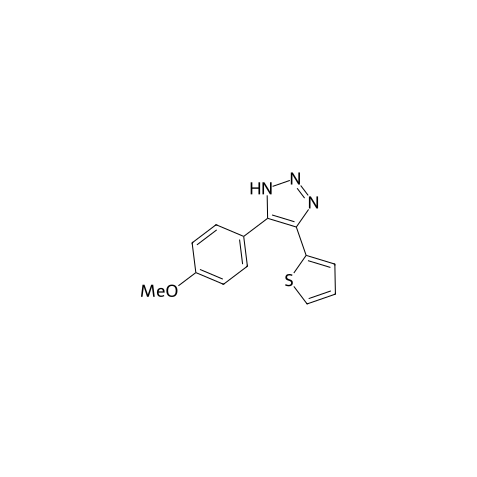 COc1ccc(-c2[nH]nnc2-c2cccs2)cc1